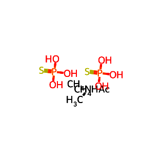 C.C.CNC(C)=O.OP(O)(O)=S.OP(O)(O)=S